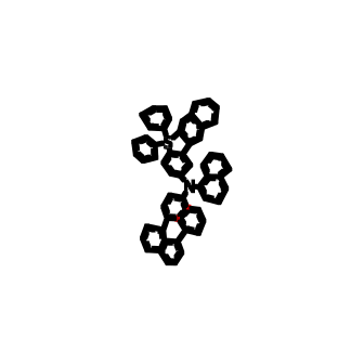 c1ccc(-c2cccc3cccc(-c4ccc(N(c5ccc6c(c5)-c5cc7ccccc7cc5S6(c5ccccc5)c5ccccc5)c5cccc6ccccc56)cc4)c23)cc1